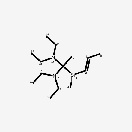 CC=C[SiH](C)C(C)(N(CC)CC)N(CC)CC